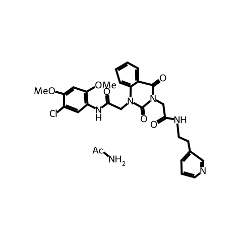 CC(N)=O.COc1cc(OC)c(NC(=O)Cn2c(=O)n(CC(=O)NCCc3cccnc3)c(=O)c3ccccc32)cc1Cl